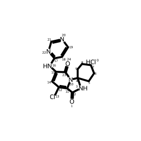 Cl.O=C1NC2(CCCCC2)n2c1c(Cl)cc(Nc1ccncn1)c2=O